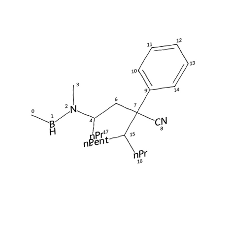 CBN(C)C(CCC)CC(C#N)(c1ccccc1)C(CCC)CCCCC